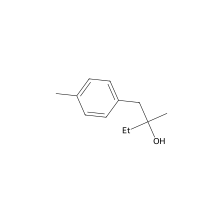 CCC(C)(O)Cc1ccc(C)cc1